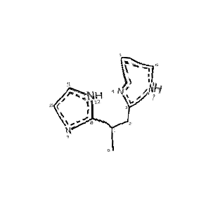 C[C](Cc1ncc[nH]1)c1ncc[nH]1